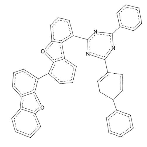 C1=CC(c2ccccc2)CC=C1c1nc(-c2ccccc2)nc(-c2cccc3oc4c(-c5cccc6c5oc5ccccc56)cccc4c23)n1